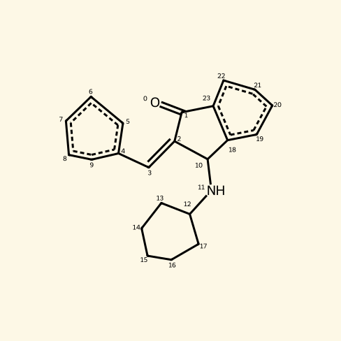 O=C1/C(=C\c2ccccc2)C(NC2CCCCC2)c2ccccc21